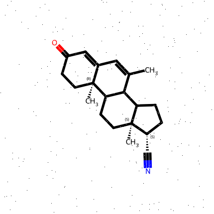 CC1=CC2=CC(=O)CC[C@]2(C)C2CC[C@@]3(C)C(CC[C@@H]3C#N)C12